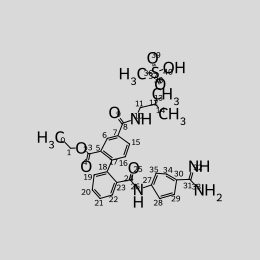 CCOC(=O)c1cc(C(=O)NCC(C)C)ccc1-c1ccccc1C(=O)Nc1ccc(C(=N)N)cc1.CS(=O)(=O)O